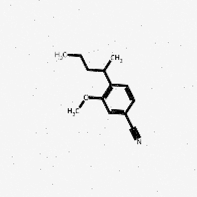 CCCC(C)c1ccc(C#N)cc1OC